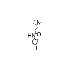 CN1CCC[C@@H]1/C=C/C(=O)Nc1ccc(I)cc1